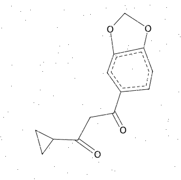 O=C(CC(=O)C1CC1)c1ccc2c(c1)OCO2